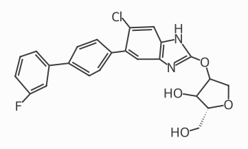 OC[C@H]1OCC(Oc2nc3cc(-c4ccc(-c5cccc(F)c5)cc4)c(Cl)cc3[nH]2)C1O